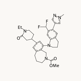 CCN1CCC(c2cc3c(c(N4CCCc5cc(-c6cnn(C)c6)c(C(F)F)cc54)c2)CN(C(=O)OC)CCC3)CC1=O